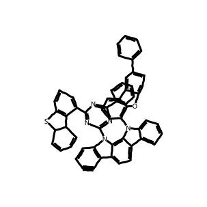 c1ccc2c(c#1)c1ccc3c4ccccc4n(-c4cccc5c4oc4ccc(-c6ccccc6)cc45)c3c1n2-c1nc(-c2ccccc2)nc(-c2cccc3c2C2C=CC=CC2S3)n1